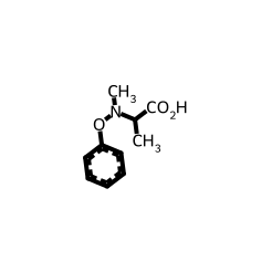 CC(C(=O)O)N(C)Oc1ccccc1